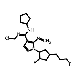 C=Nc1c(/C(=N\CCl)NC2CCCC2)ccn1C1CC(CCCP)CC1F